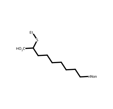 CCCCCCCCCCCCCCCCC(SCC)C(=O)O